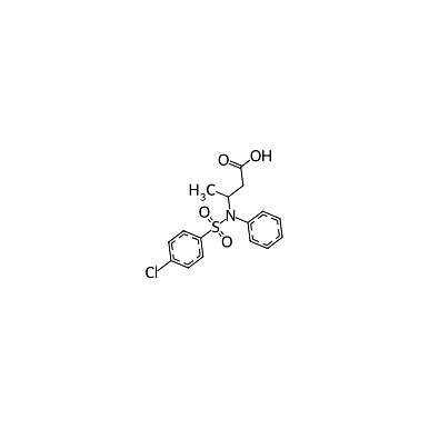 CC(CC(=O)O)N(c1ccccc1)S(=O)(=O)c1ccc(Cl)cc1